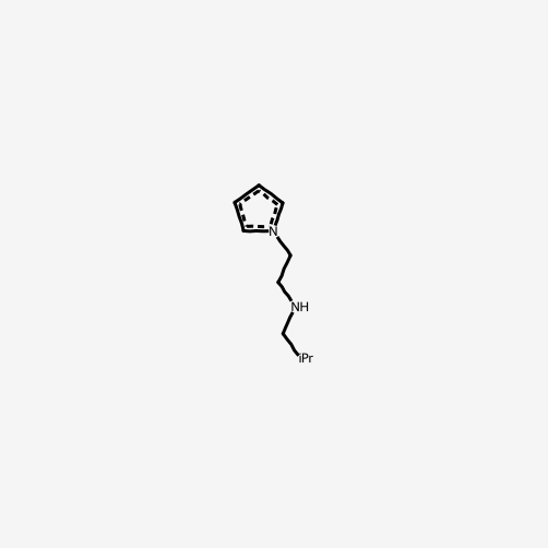 CC(C)CNCCn1cccc1